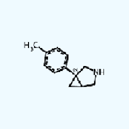 Cc1ccc([C@@]23CNCC2C3)cc1